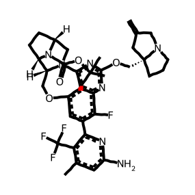 C=C1CN2CCC[C@@]2(COc2nc3c4c(cc(-c5nc(N)cc(C)c5C(F)(F)F)c(F)c4n2)OC[C@@H]2[C@@H]4CC[C@H](CN32)N4C(=O)OC(C)(C)C)C1